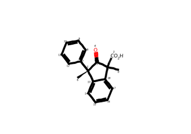 CC1(C(=O)O)C(=O)[C@@](C)(c2ccccc2)c2ccccc21